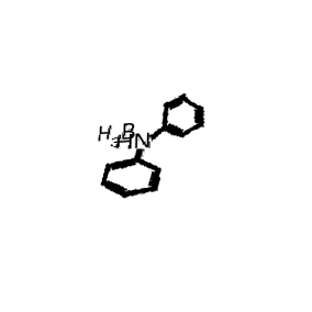 B.c1ccc(Nc2ccccc2)cc1